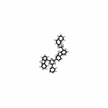 c1ccc(-c2nc(-c3ccc4c(c3)oc3c(-c5nc6ccc7ccccc7c6o5)cccc34)nc(-c3cccc4oc5ccccc5c34)n2)cc1